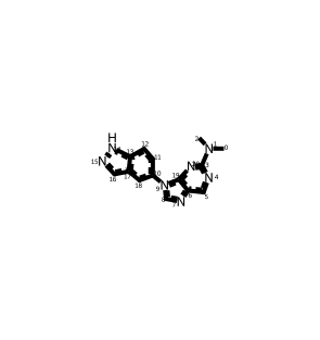 CN(C)c1ncc2ncn(-c3ccc4[nH]ncc4c3)c2n1